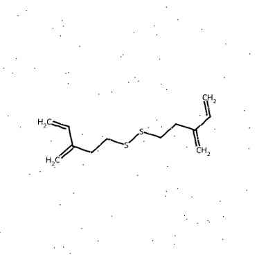 C=CC(=C)CCSSCCC(=C)C=C